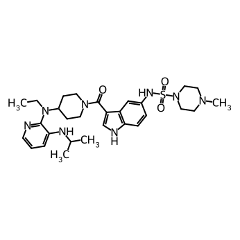 CCN(c1ncccc1NC(C)C)C1CCN(C(=O)c2c[nH]c3ccc(NS(=O)(=O)N4CCN(C)CC4)cc23)CC1